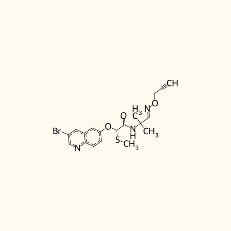 C#CCON=CC(C)(C)NC(=O)C(Oc1ccc2ncc(Br)cc2c1)SC